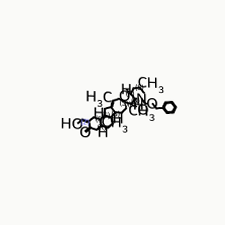 CC1=C2C[C@H]3C(CC[C@@H]4CC(=O)/C(=C\O)C[C@@]43C)[C@@H]2CC[C@@]2(C1)O[C@@H]1C[C@H](C)CN(C(=O)OCc3ccccc3)[C@H]1[C@H]2C